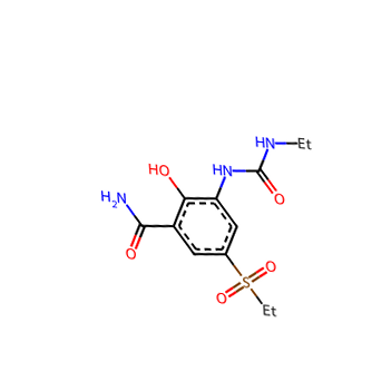 CCNC(=O)Nc1cc(S(=O)(=O)CC)cc(C(N)=O)c1O